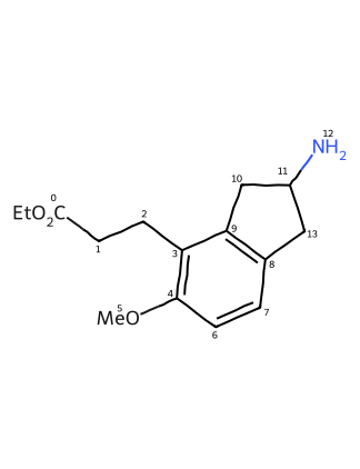 CCOC(=O)CCc1c(OC)ccc2c1CC(N)C2